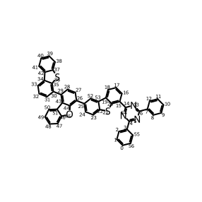 c1ccc(-c2nc(-c3ccccc3)nc(-c3cccc4c3sc3ccc(-c5ccc(-c6cccc7c6sc6ccccc67)c6c5oc5ccccc56)cc34)n2)cc1